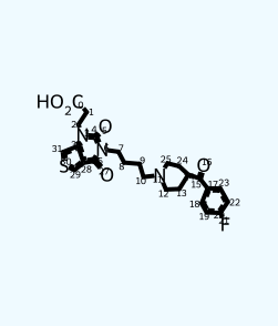 O=C(O)CCn1c(=O)n(CCCCN2CCC(C(=O)c3ccc(F)cc3)CC2)c(=O)c2cscc21